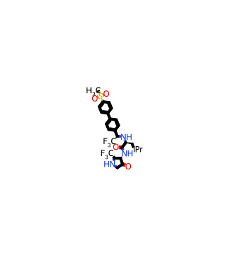 CC(C)C[C@H](N[C@@H](c1ccc(-c2ccc(S(C)(=O)=O)cc2)cc1)C(F)(F)F)C(=O)N[C@@H]1C(=O)CNC1C(F)(F)F